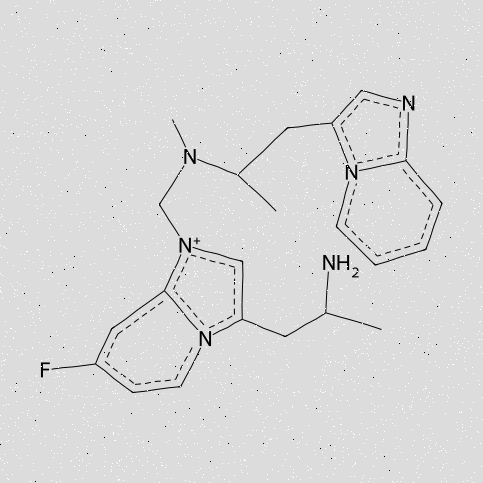 CC(N)Cc1c[n+](CN(C)C(C)Cc2cnc3ccccn23)c2cc(F)ccn12